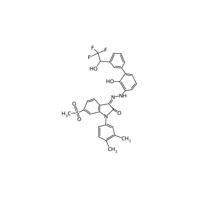 Cc1ccc(N2C(=O)/C(=N\Nc3cccc(-c4cccc(C(O)C(F)(F)F)c4)c3O)c3ccc(S(C)(=O)=O)cc32)cc1C